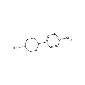 CN1CCC(c2ccc(N)nc2)CC1